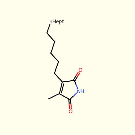 CCCCCCCCCCCCC1=C(C)C(=O)NC1=O